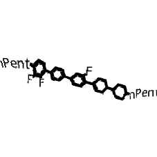 CCCCCc1ccc(-c2ccc(-c3ccc(C4=CCC(C5CCC(CCCCC)CC5)CC4)c(F)c3)cc2)c(F)c1F